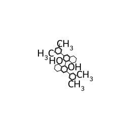 Cc1cc(C)cc(-c2cc3c(c(-c4c(O)c(-c5cc(C)cc(C)c5)cc5c4CCCC5)c2O)CCCC3)c1